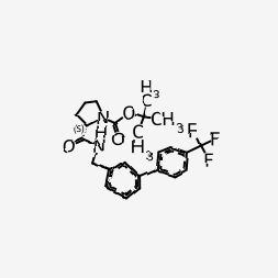 CC(C)(C)OC(=O)N1CCC[C@H]1C(=O)NCc1cccc(-c2ccc(C(F)(F)F)cc2)c1